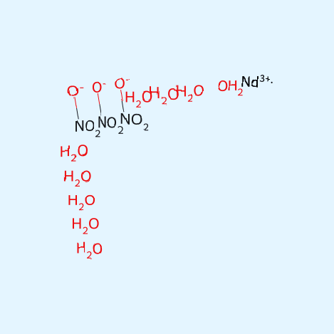 O.O.O.O.O.O.O.O.O.O=[N+]([O-])[O-].O=[N+]([O-])[O-].O=[N+]([O-])[O-].[Nd+3]